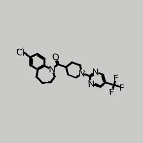 O=C(C1CCN(c2ncc(C(F)(F)F)cn2)CC1)N1CCCCc2cc(Cl)ccc21